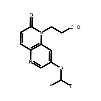 O=CCCn1c(=O)ccc2ncc(OC(F)F)cc21